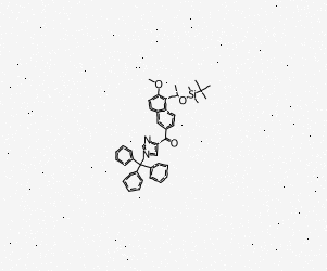 COc1ccc2cc(C(=O)c3cn(C(c4ccccc4)(c4ccccc4)c4ccccc4)cn3)ccc2c1C(C)O[Si](C)(C)C(C)(C)C